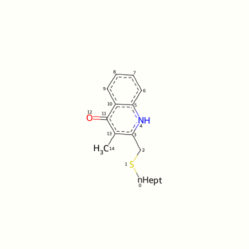 CCCCCCCSCc1[nH]c2ccccc2c(=O)c1C